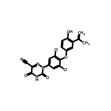 C=C(C)c1cc(Oc2c(Cl)cc(-n3nc(C#N)c(=O)[nH]c3=O)cc2Cl)ccc1O